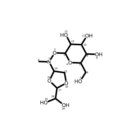 CN(OC1OC(CO)C(O)C(O)C1O)C1COC(C(O)O)O1